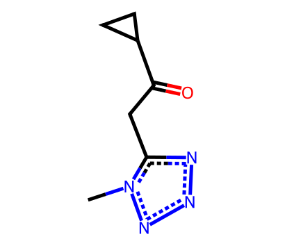 Cn1nnnc1CC(=O)C1CC1